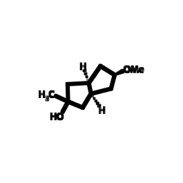 CO[C@@H]1C[C@@H]2CC(C)(O)C[C@@H]2C1